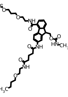 CCCCOCCNC(=O)CCCC(=O)Nc1ccc2c(c1)C(COC(=O)NC)c1cccc(C(=O)NCCOCCCOC)c1-2